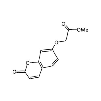 COC(=O)COc1ccc2ccc(=O)oc2c1